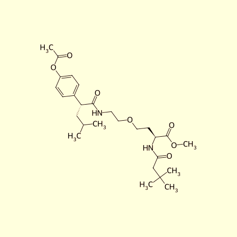 COC(=O)[C@H](CCOCCNC(=O)[C@H](CC(C)C)c1ccc(OC(C)=O)cc1)NC(=O)CC(C)(C)C